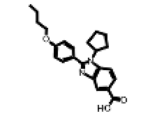 CCCCOc1ccc(-c2nc3cc(C(=O)O)ccc3n2C2CCCC2)cc1